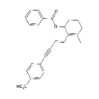 CC1=C(/C=C/C#Cc2ccc(C(=O)O)cc2)C(OC(=O)c2ccccc2)CCC1